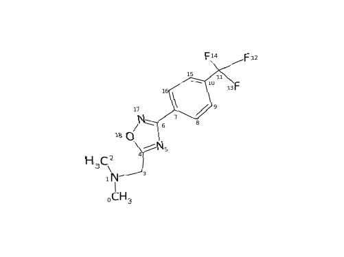 CN(C)Cc1nc(-c2ccc(C(F)(F)F)cc2)no1